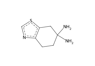 NC1(N)CCc2ncsc2C1